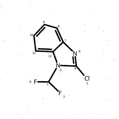 FC(F)n1c(Cl)nc2ccccc21